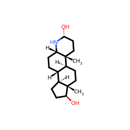 C[C@]12CC[C@@H](O)N[C@H]1CC[C@@H]1[C@@H]2CC[C@]2(C)[C@@H](O)CC[C@@H]12